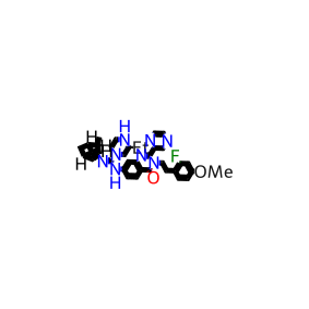 CC[C@H]1CN(/C(=N\[C@H]2C[C@H]3C[C@@H]([C@@H]2C)C3(C)C)Nc2ccc3c(=O)n(CCc4ccc(OC)cc4F)c(-c4cnccn4)nc3c2)CCN1